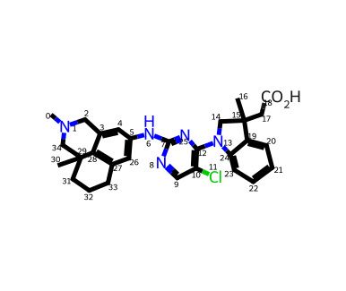 CN1Cc2cc(Nc3ncc(Cl)c(N4CC(C)(CC(=O)O)c5ccccc54)n3)cc3c2C(C)(CCC3)C1